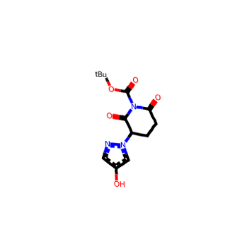 CC(C)(C)OC(=O)N1C(=O)CCC(n2cc(O)cn2)C1=O